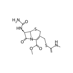 C=C(NC)SCC1=C(C(=O)OC)N2C(=O)[C@@H](NC(N)=O)C2SC1